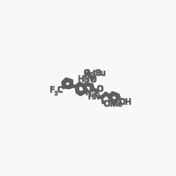 COC[C@H](Cc1ccc(O)cc1)NC(=O)c1cc(NS(=O)(=O)C(C)(C)C)c2cc(-c3cccc(C(F)(F)F)c3)ccc2n1